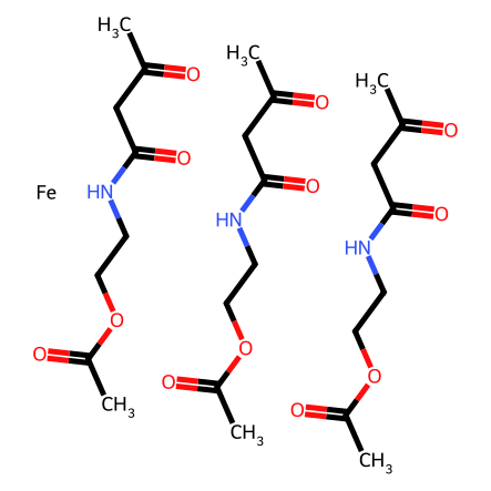 CC(=O)CC(=O)NCCOC(C)=O.CC(=O)CC(=O)NCCOC(C)=O.CC(=O)CC(=O)NCCOC(C)=O.[Fe]